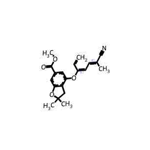 C=C/C(=C\C=C(/C)C#N)Oc1cc(C(=O)OC)cc2c1CC(C)(C)O2